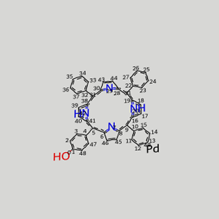 Oc1ccc(-c2c3nc(c(-c4ccccc4)c4ccc([nH]4)c(-c4ccccc4)c4nc(c(-c5ccccc5)c5ccc2[nH]5)C=C4)C=C3)cc1.[Pd]